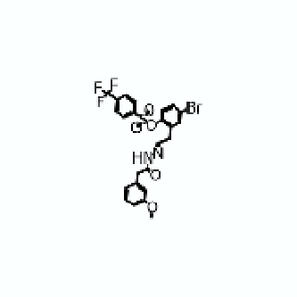 COc1cccc(CC(=O)NN=CCc2cc(Br)ccc2OS(=O)(=O)c2ccc(C(F)(F)F)cc2)c1